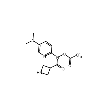 CN(C)c1ccc(N(OC(=O)C(F)(F)F)C(=O)C2CNC2)nc1